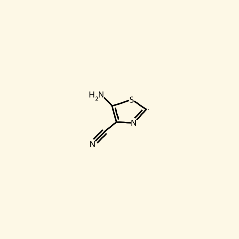 N#Cc1n[c]sc1N